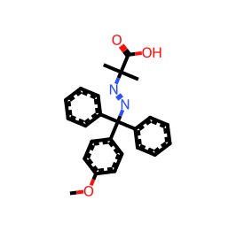 COc1ccc(C(N=NC(C)(C)C(=O)O)(c2ccccc2)c2ccccc2)cc1